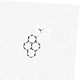 BC(=O)Oc1ccc2ccc3cccc4ccc1c2c34